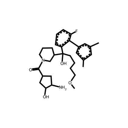 COCCCCC(O)(c1cccc(F)c1-c1cc(C)cc(C)c1)C1CCCN(C(=O)C2CC(N)C(O)C2)C1